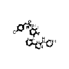 O=S(=O)(Cc1ccc(Cl)cc1)Nc1ccc(Oc2ncccc2-c2ccnc(N[C@H]3CCCNC3)n2)c(F)c1F